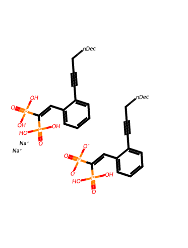 CCCCCCCCCCCC#Cc1ccccc1C=C(P(=O)(O)O)P(=O)(O)O.CCCCCCCCCCCC#Cc1ccccc1C=C(P(=O)([O-])[O-])P(=O)(O)O.[Na+].[Na+]